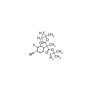 CC(C)(C)OC(=O)C(C)(C(=O)OC(C)(C)C)c1ccc(C#N)c(F)c1Cl